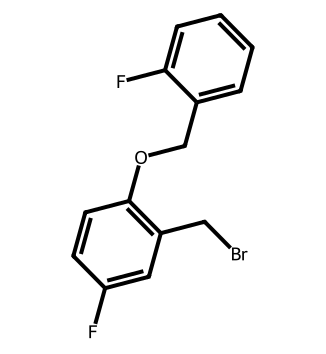 Fc1ccc(OCc2ccccc2F)c(CBr)c1